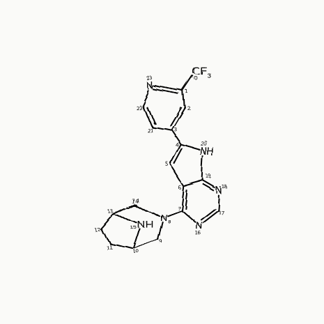 FC(F)(F)c1cc(-c2cc3c(N4CC5CCC(C4)N5)ncnc3[nH]2)ccn1